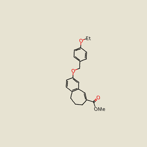 CCOc1ccc(COc2ccc3c(c2)C=C(C(=O)OC)CCC3)cc1